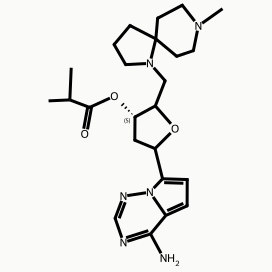 CC(C)C(=O)O[C@H]1CC(c2ccc3c(N)ncnn23)OC1CN1CCCC12CCN(C)CC2